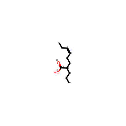 CC/C=C\CCC(CCC)C(=O)O